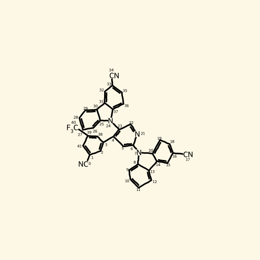 N#Cc1cc(-c2cc(-n3c4ccccc4c4cc(C#N)ccc43)ncc2-n2c3ccccc3c3cc(C#N)ccc32)cc(C(F)(F)F)c1